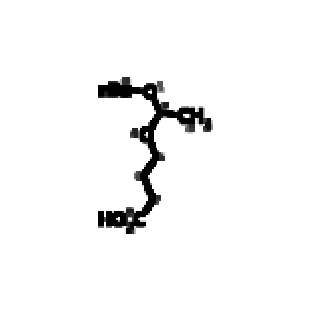 CCCCOC(C)OCCCC(=O)O